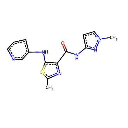 Cc1nc(C(=O)Nc2ccn(C)n2)c(Nc2cccnc2)s1